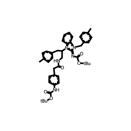 Cc1ccc(CC(CNC(=O)Cc2ccc(NC(=O)OC(C)(C)C)cc2)n2/c(=N/C(=O)OC(C)(C)C)n(Cc3ccc(C)cc3)c3ccccc32)cc1